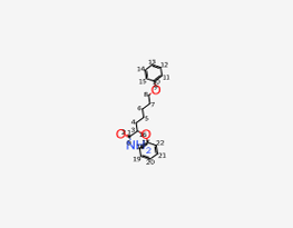 NC(=O)C(CCCCCOc1ccccc1)Oc1ccccc1